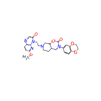 COc1ccc2ncc(=O)n(CCN3CCC4CN(c5ccc6c(c5)OCCO6)C(=O)OC4C3)c2n1